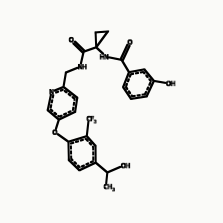 CC(O)c1ccc(Oc2ccc(CNC(=O)C3(NC(=O)c4cccc(O)c4)CC3)nc2)c(C(F)(F)F)c1